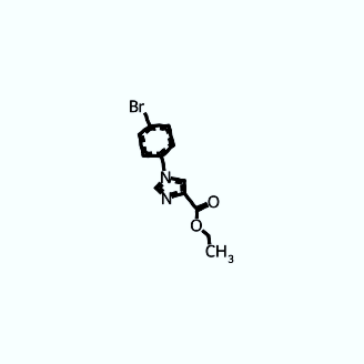 CCOC(=O)c1cn(-c2ccc(Br)cc2)cn1